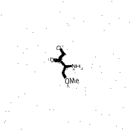 COCC(N)C(=O)CCl